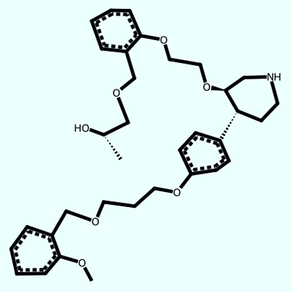 COc1ccccc1COCCCOc1ccc([C@H]2CCNC[C@@H]2OCCOc2ccccc2COC[C@H](C)O)cc1